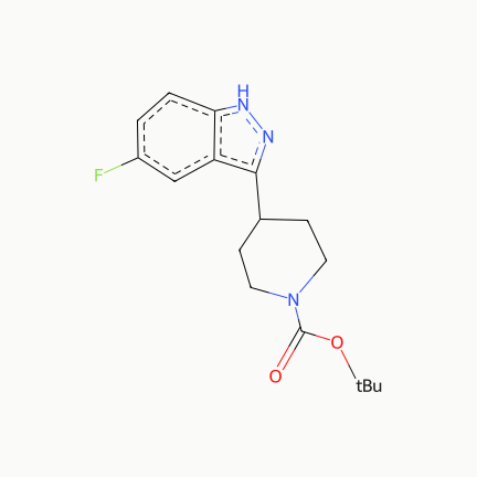 CC(C)(C)OC(=O)N1CCC(c2n[nH]c3ccc(F)cc23)CC1